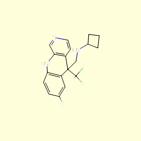 Fc1ccc2c(c1)C(CNC1CCC1)(C(F)(F)F)c1ccncc1N2